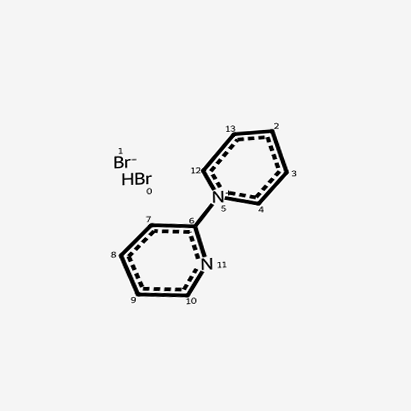 Br.[Br-].c1cc[n+](-c2ccccn2)cc1